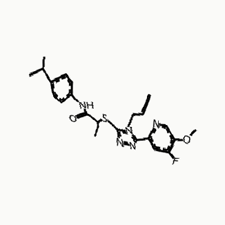 C=CCn1c(SC(C)C(=O)Nc2ccc(C(C)C)cc2)nnc1-c1cc(F)c(OC)cn1